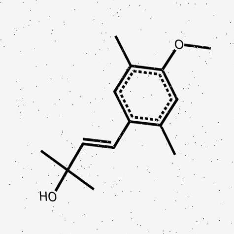 COc1cc(C)c(C=CC(C)(C)O)cc1C